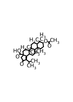 CC(=O)O[C@H]1CCC2(C)C(CCC3(C)C2CCC2C4=C(C(C)C)C(=O)CC4(C(=O)O)CCC23C)C1(C)C